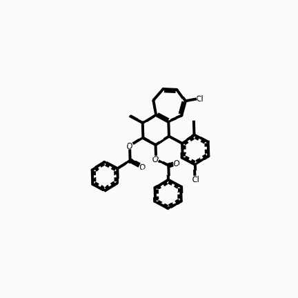 Cc1ccc(Cl)cc1C1C2=C(CC=CC(Cl)=C2)C(C)C(OC(=O)c2ccccc2)C1OC(=O)c1ccccc1